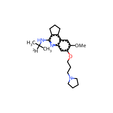 [2H]C(C)(C)Nc1nc2cc(OCCCN3CCCC3)c(OC)cc2c2c1CCC2